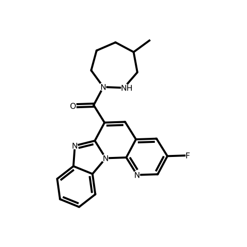 CC1CCCN(C(=O)c2cc3cc(F)cnc3n3c2nc2ccccc23)NC1